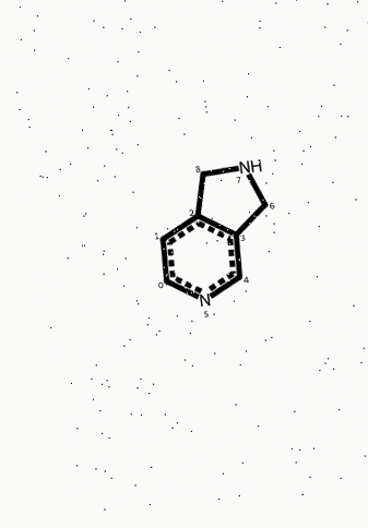 [c]1cc2c(cn1)CNC2